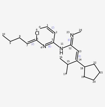 C\C=C/C(=N\C(Cl)=C\CCC)NC(/C=C(\C(C)C)C1CCCC1)=N/C